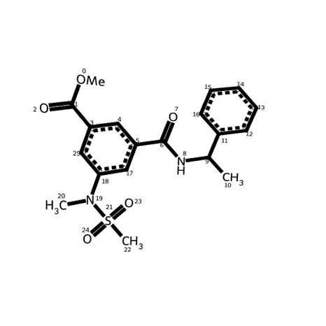 COC(=O)c1cc(C(=O)NC(C)c2ccccc2)cc(N(C)S(C)(=O)=O)c1